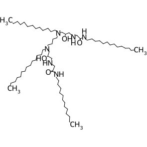 CCCCCCCCCCCCCCNC(=O)CNCC(O)CN(CCCCCCCCCCCCC)CCCCN(CCCCCCCCCCCCCC)CC(O)CNCC(=O)NCCCCCCCCCCCCCC